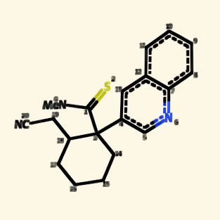 CNC(=S)C1(c2cnc3ccccc3c2)CCCCC1CC#N